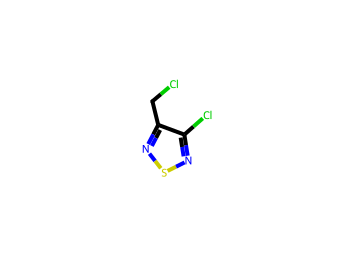 ClCc1nsnc1Cl